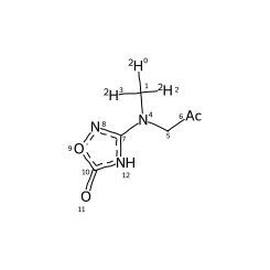 [2H]C([2H])([2H])N(CC(C)=O)c1noc(=O)[nH]1